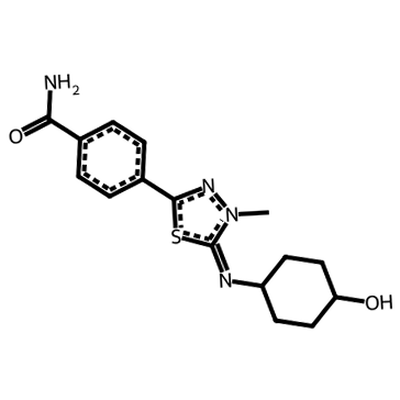 Cn1nc(-c2ccc(C(N)=O)cc2)s/c1=N/C1CCC(O)CC1